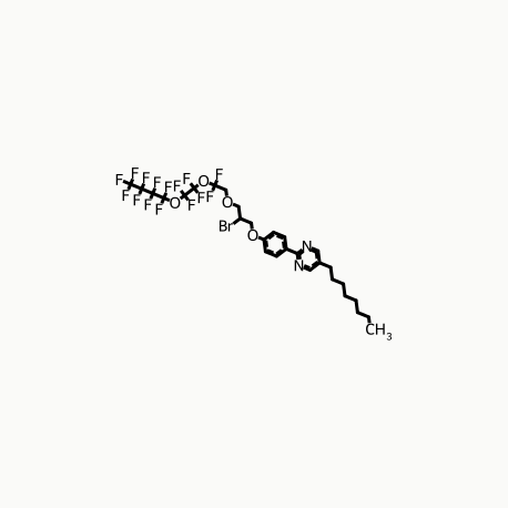 CCCCCCCCc1cnc(-c2ccc(OCC(Br)COCC(F)(F)OC(F)(F)C(F)(F)OC(F)(F)C(F)(F)C(F)(F)C(F)(F)F)cc2)nc1